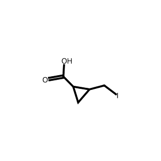 O=C(O)C1CC1CI